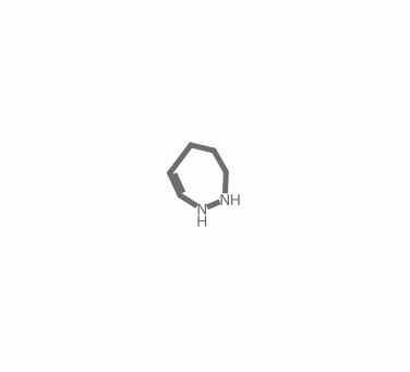 C1=CNNCCC1